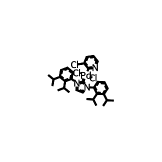 CC(C)c1cccc(-n2ccn(-c3cccc(C(C)C)c3C(C)C)[c]2=[Pd]([Cl])([Cl])[c]2ncccc2Cl)c1C(C)C